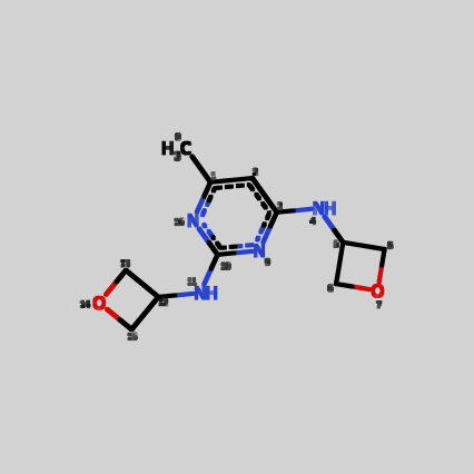 Cc1cc(NC2COC2)nc(NC2COC2)n1